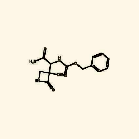 COC1(C(NC(=O)OCc2ccccc2)C(N)=O)CNC1=O